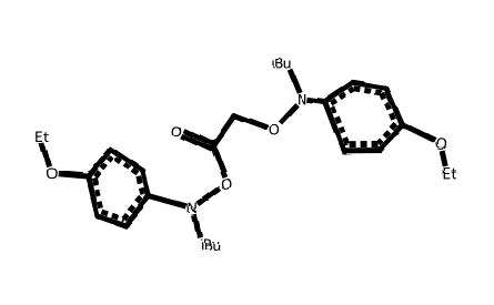 CCOc1ccc(N(OCC(=O)ON(c2ccc(OCC)cc2)C(C)CC)C(C)CC)cc1